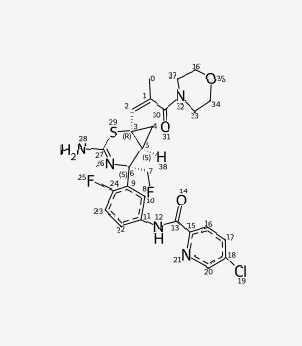 CC(=C[C@]12C[C@H]1[C@@](CF)(c1cc(NC(=O)c3ccc(Cl)cn3)ccc1F)N=C(N)S2)C(=O)N1CCOCC1